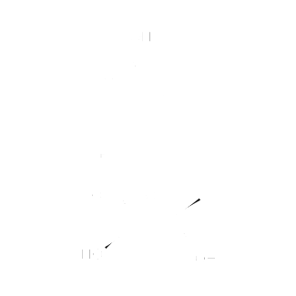 C[C@H](CC/C=C\C(=O)O)O[C@@H]1O[C@@H](C)[C@H](O)C[C@H]1O